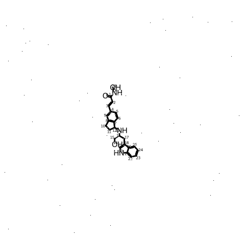 O=C(C=Cc1ccc2c(c1)CCC2N[C@H](CO)Cc1c[nH]c2ccccc12)NO